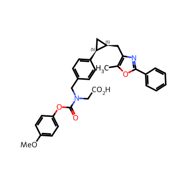 COc1ccc(OC(=O)N(CC(=O)O)Cc2ccc([C@H]3C[C@H]3Cc3nc(-c4ccccc4)oc3C)cc2)cc1